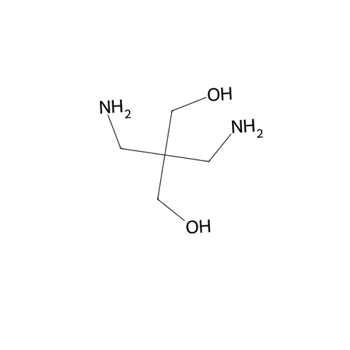 NCC(CN)(CO)CO